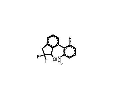 Nc1cccc(F)c1-c1cccc2c1C(O)C(F)(F)C2